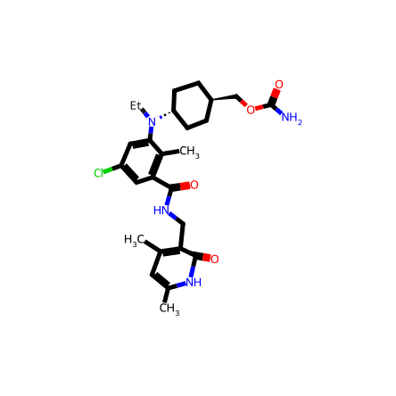 CCN(c1cc(Cl)cc(C(=O)NCc2c(C)cc(C)[nH]c2=O)c1C)[C@H]1CC[C@H](COC(N)=O)CC1